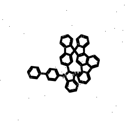 c1ccc(-c2ccc(N3c4ccccc4NC3c3ccc4c(c3)C3(c5ccccc5-4)c4ccccc4-c4c3cc3c5c(cccc45)-c4ccccc4-3)cc2)cc1